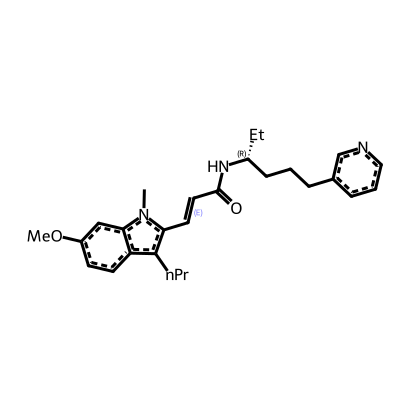 CCCc1c(/C=C/C(=O)N[C@H](CC)CCCc2cccnc2)n(C)c2cc(OC)ccc12